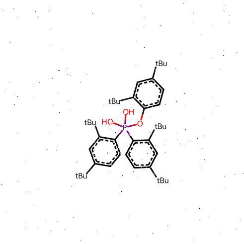 CC(C)(C)c1ccc(OP(O)(O)(c2ccc(C(C)(C)C)cc2C(C)(C)C)c2ccc(C(C)(C)C)cc2C(C)(C)C)c(C(C)(C)C)c1